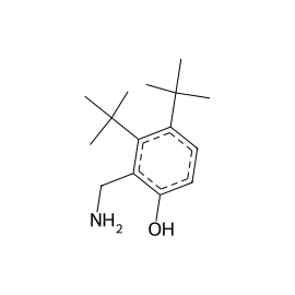 CC(C)(C)c1ccc(O)c(CN)c1C(C)(C)C